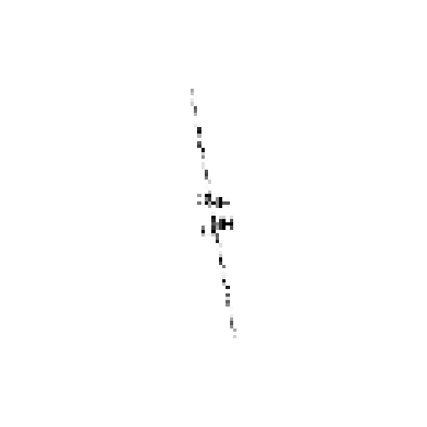 CCCCCCCCC=CCCCCCCCCCCCC(=O)NCCCNC(=O)CCCCCCCCCCCC=CCCCCCCCC